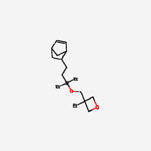 CCC1(CO[Si](CC)(CC)CCC2CC3C=CC2C3)COC1